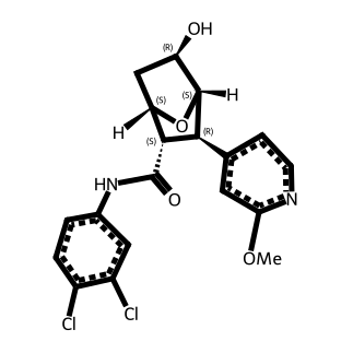 COc1cc([C@@H]2[C@@H]3O[C@@H](C[C@H]3O)[C@H]2C(=O)Nc2ccc(Cl)c(Cl)c2)ccn1